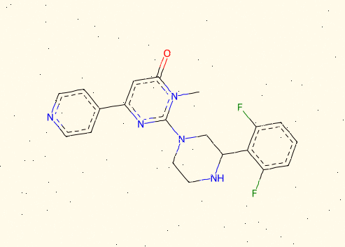 Cn1c(N2CCNC(c3c(F)cccc3F)C2)nc(-c2ccncc2)cc1=O